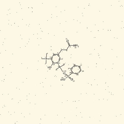 CC(C)(C)c1cc(CCC(N)=O)cc(C(C)(C)C)c1O.O=S(=O)(O)c1ccccc1